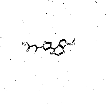 NC(=O)CC(I)n1cc(C2NC=Nc3c2ccn3PI)cn1